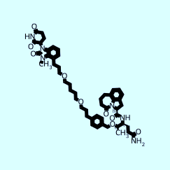 C[C@@H](OCc1ccc(CCCOCCCCCOCCCc2cccc3c2n(C)c(=O)n3C2CCC(=O)NC2=O)cc1)[C@H](CCC(N)=O)NC(=O)[C@@H]1Cc2cccc3c2N1C(=O)CCC3